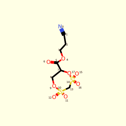 N#CCCOC(=O)C1COS(=O)(=O)CS(=O)(=O)O1